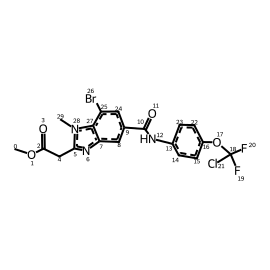 COC(=O)Cc1nc2cc(C(=O)Nc3ccc(OC(F)(F)Cl)cc3)cc(Br)c2n1C